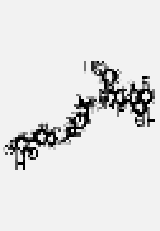 CCc1c(F)ccc2cc(O)cc(-c3ncc4c(N5CCC[C@@](C)(O)C5)nc(OCC5(CN6CCC7(CC6)CC(CN6Cc8ccc(C9CCC(=O)NC9=O)cc8C6)C7)CC5)nc4c3F)c12